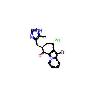 CCc1c2c(n3ccccc13)C(=O)C(Cc1nc[nH]c1C)CC2.Cl